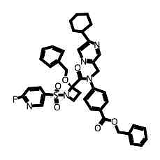 O=C(OCc1ccccc1)c1ccc(N(Cc2cnc(C3CCCCC3)cn2)C(=O)[C@]2(OCc3ccccc3)CCN2S(=O)(=O)c2ccc(F)nc2)cc1